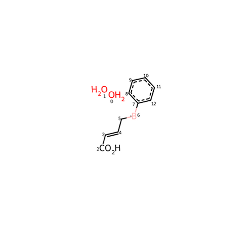 O.O.O=C(O)C=CC[B]c1ccccc1